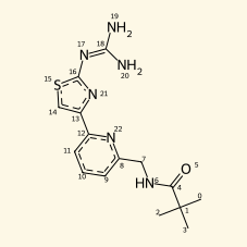 CC(C)(C)C(=O)NCc1cccc(-c2csc(N=C(N)N)n2)n1